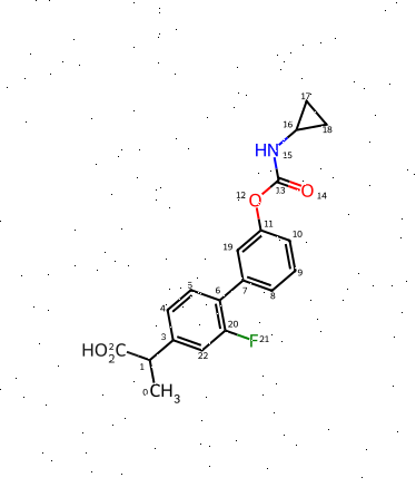 CC(C(=O)O)c1ccc(-c2cccc(OC(=O)NC3CC3)c2)c(F)c1